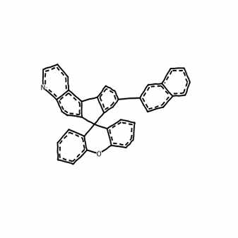 c1ccc2c(c1)Oc1ccccc1C21c2cc(-c3ccc4ccccc4c3)ccc2-c2c1ccc1ncccc21